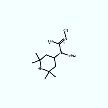 CCCCCCN(/C(N)=N/C#N)C1CC(C)(C)NC(C)(C)C1